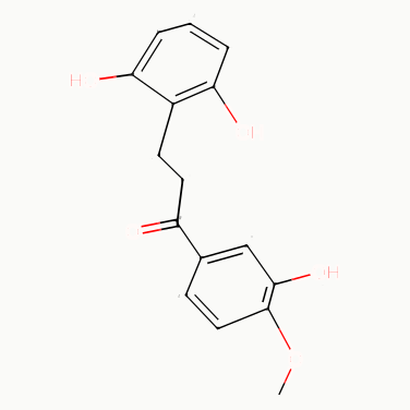 COc1ccc(C(=O)CCc2c(O)cccc2O)cc1O